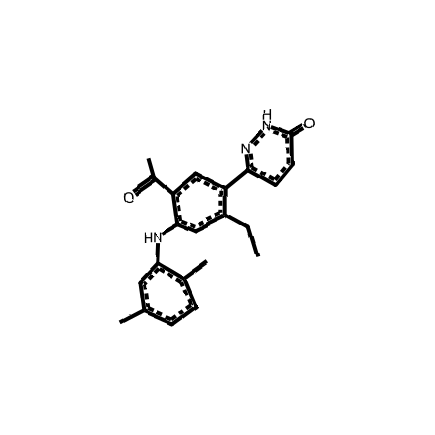 CCc1cc(Nc2cc(C)ccc2C)c(C(C)=O)cc1-c1ccc(=O)[nH]n1